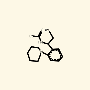 CCC(=O)NC(CC(C)C)c1ccccc1N1CCCCC1